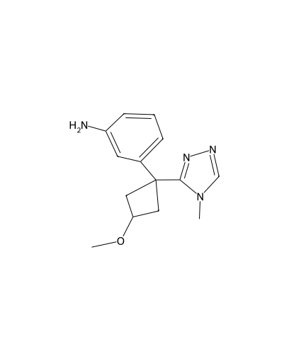 COC1CC(c2cccc(N)c2)(c2nncn2C)C1